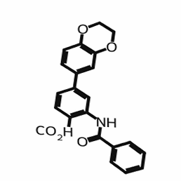 O=C(Nc1cc(-c2ccc3c(c2)OCCO3)ccc1C(=O)O)c1ccccc1